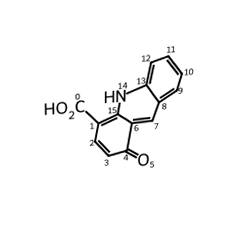 O=C(O)c1ccc(=O)c2cc3ccccc3[nH]c1-2